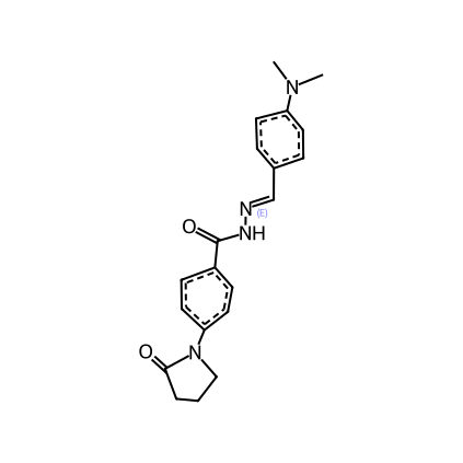 CN(C)c1ccc(/C=N/NC(=O)c2ccc(N3CCCC3=O)cc2)cc1